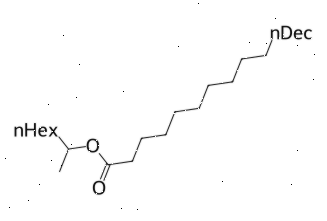 CCCCCCCCCCCCCCCCCCCC(=O)OC(C)CCCCCC